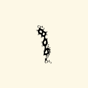 CCOC1=CC=C(c2ccc(-c3ccc4cc(C)ccc4c3)cc2)C(F)(F)C1(F)F